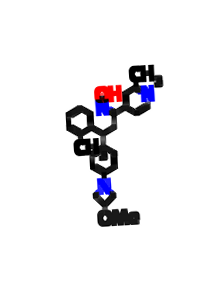 COC1CN(c2ccc(C(CC(=NO)c3ccnc(C)c3)c3ccccc3C)cc2)C1